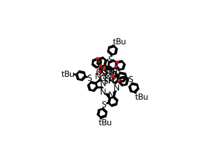 CC(C)(C)c1ccc(Sc2ccc3c4n5c(c3c2)/N=C2N=C(/N=c3/c6cccc(Sc7ccc(C(C)(C)C)cc7)c6/c(n3[Si]5(OS(=O)(=O)N(c3ccccc3)c3ccccc3)OS(=O)(=O)N(c3ccccc3)c3ccccc3)=N/C3=NC(=N\4)/c4c(Sc5ccc(C(C)(C)C)cc5)cccc43)c3c(Sc4ccc(C(C)(C)C)cc4)cccc3\2)cc1